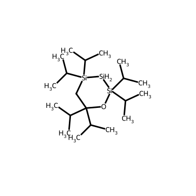 CC(C)C1(C(C)C)C[Si](C(C)C)(C(C)C)[SiH2][Si](C(C)C)(C(C)C)O1